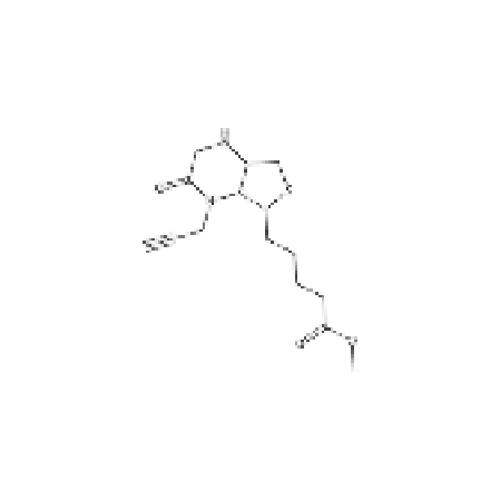 C#CCN1C(=O)CNC2CSC(CCCCC(=O)OC)C21